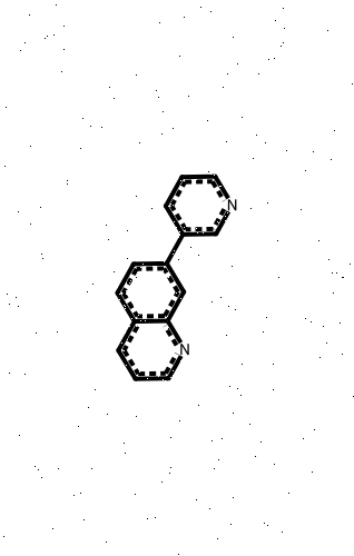 c1cncc(-c2ccc3cccnc3c2)c1